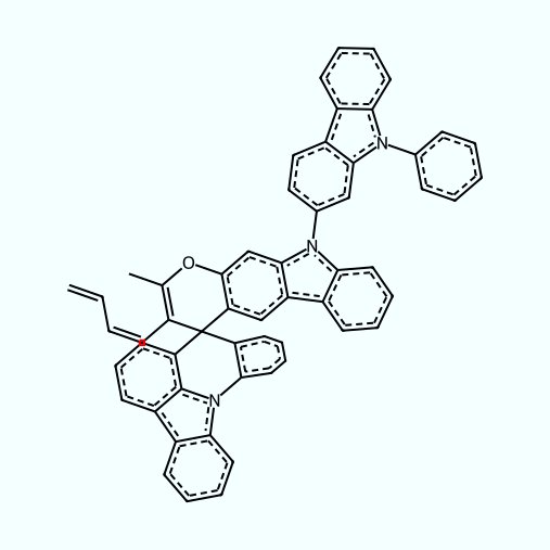 C=C/C=C\C1=C(C)Oc2cc3c(cc2C12c1ccccc1-n1c4ccccc4c4cccc2c41)c1ccccc1n3-c1ccc2c3ccccc3n(-c3ccccc3)c2c1